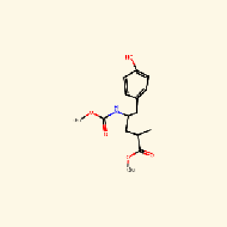 CC(CC(Cc1ccc(O)cc1)NC(=O)OC(C)(C)C)C(=O)OC(C)(C)C